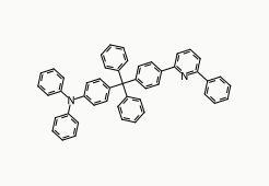 c1ccc(-c2cccc(-c3ccc(C(c4ccccc4)(c4ccccc4)c4ccc(N(c5ccccc5)c5ccccc5)cc4)cc3)n2)cc1